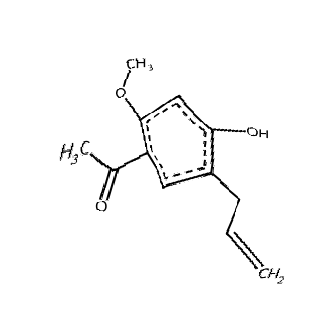 C=CCc1cc(C(C)=O)c(OC)cc1O